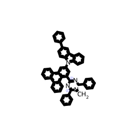 C=N/C(=N\C(=N/Cc1ccccc1)c1cc(-n2c3ccccc3c3cc(-c4ccccc4)ccc32)cc2c3ccccc3c3ccccc3c12)c1ccccc1